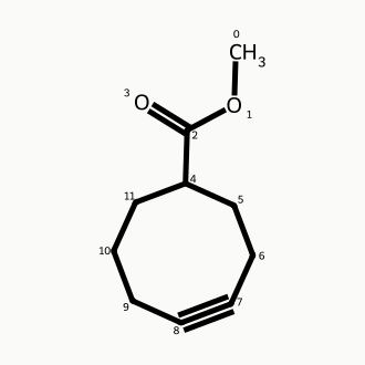 COC(=O)C1CCC#CCCC1